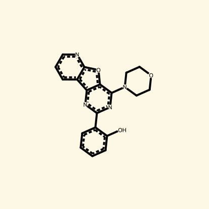 Oc1ccccc1-c1nc(N2CCOCC2)c2oc3ncccc3c2n1